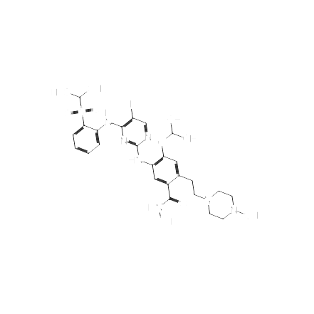 CNC(=O)c1cc(Nc2ncc(I)c(Nc3ccccc3S(=O)(=O)C(C)C)n2)c(OC(C)C)cc1CCN1CCN(C)CC1